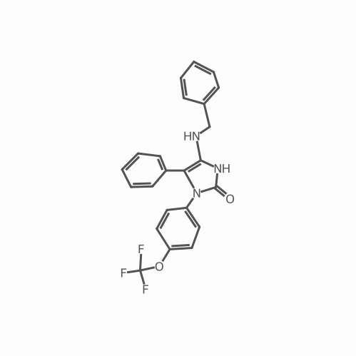 O=c1[nH]c(NCc2ccccc2)c(-c2ccccc2)n1-c1ccc(OC(F)(F)F)cc1